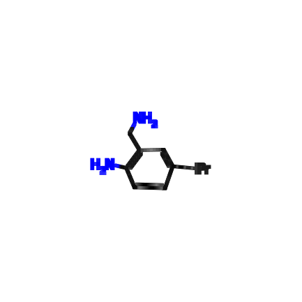 CC(C)c1ccc(N)c(CN)c1